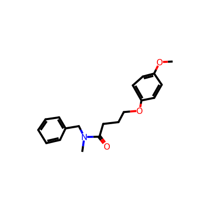 COc1ccc(OCCCC(=O)N(C)Cc2ccccc2)cc1